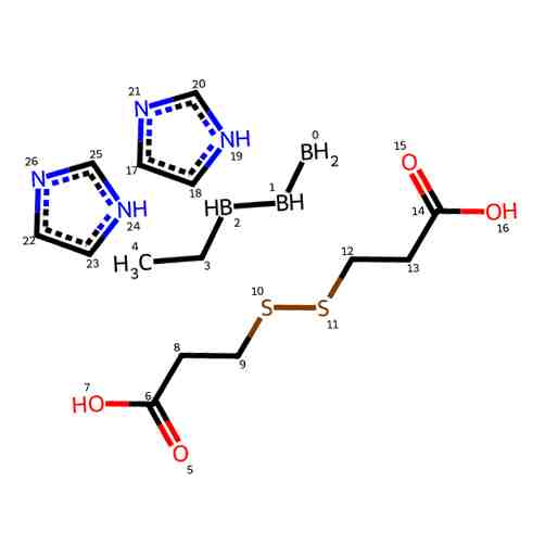 BBBCC.O=C(O)CCSSCCC(=O)O.c1c[nH]cn1.c1c[nH]cn1